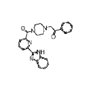 O=C(CN1CCN(C(=O)c2cccc(-c3nc4ccccc4[nH]3)n2)CC1)c1ccccc1